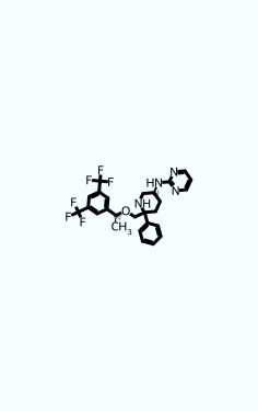 C[C@@H](OCC1(c2ccccc2)CC[C@H](Nc2ncccn2)CN1)c1cc(C(F)(F)F)cc(C(F)(F)F)c1